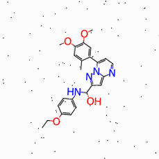 CCOc1ccc(NC(O)c2cc3nccc(-c4cc(OC)c(OC)cc4C)n3n2)cc1